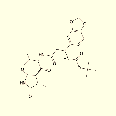 CC(C)[C@H](NC(=O)CC(NC(=O)OC(C)(C)C)c1ccc2c(c1)OCO2)C(=O)[C@@H]1C(=O)NC(=O)[C@H]1C